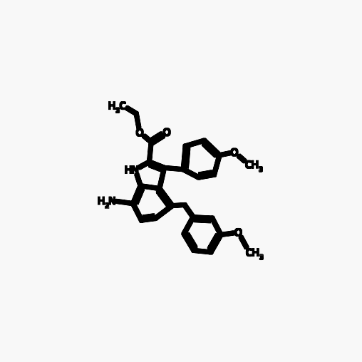 CCOC(=O)c1[nH]c2c(N)ccc(Cc3cccc(OC)c3)c2c1-c1ccc(OC)cc1